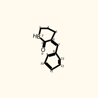 O=C1BCCC/C1=C/c1ccccc1